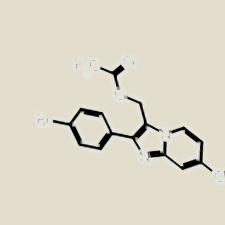 O=C(OCc1c(-c2ccc(Br)cc2)nc2cc(Cl)ccn12)C(F)(F)F